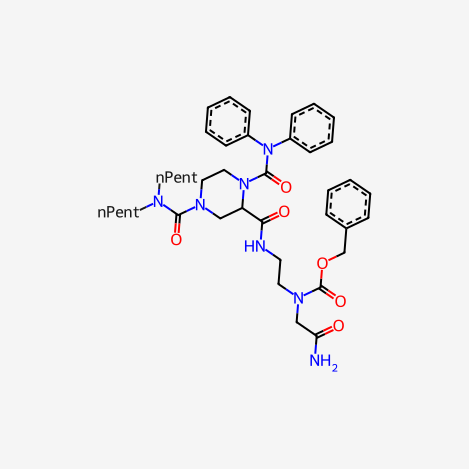 CCCCCN(CCCCC)C(=O)N1CCN(C(=O)N(c2ccccc2)c2ccccc2)C(C(=O)NCCN(CC(N)=O)C(=O)OCc2ccccc2)C1